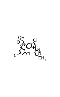 Cc1ccc(-n2cc(Cl)c3cc(N(CC(=O)O)Sc4cc(Cl)cc(Cl)c4)ccc32)nn1